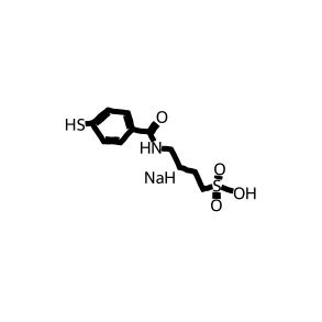 O=C(NCCCCS(=O)(=O)O)c1ccc(S)cc1.[NaH]